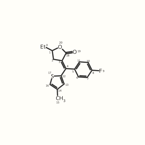 CCC1CC(=C(c2ccc(F)cc2)c2cc(C)cs2)C(=O)O1